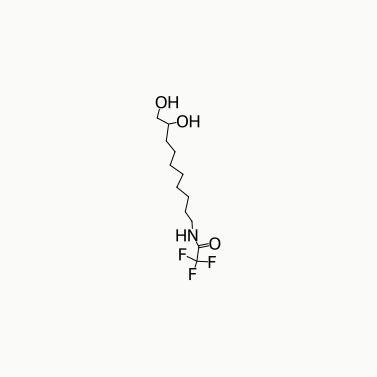 O=C(NCCCCCCCCC(O)CO)C(F)(F)F